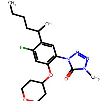 CCCCC(C)c1cc(-n2nnn(C)c2=O)c(OC2CCOCC2)cc1F